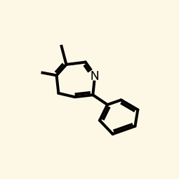 CC1=C(C)CC=C(c2ccccc2)N=C1